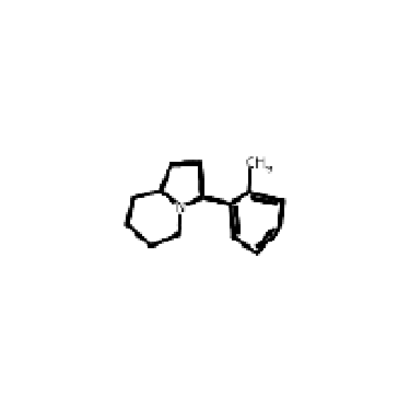 Cc1ccccc1C1CCC2CCCCN21